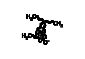 CCCCOC(=O)[O-].CCCC[N+](CCCC)(CCCC)CCCC